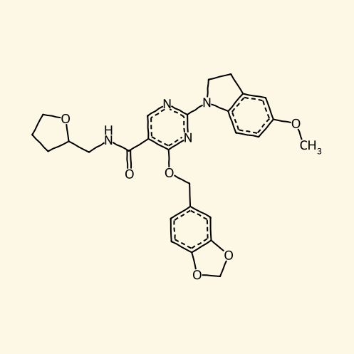 COc1ccc2c(c1)CCN2c1ncc(C(=O)NCC2CCCO2)c(OCc2ccc3c(c2)OCO3)n1